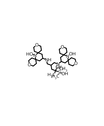 CC(C)(CC(CNC1CC2(CCOCC2)N(O)C2(CCOCC2)C1)CNC1CC2(CCOCC2)N(O)C2(CCOCC2)C1)[Si](C)(C)O